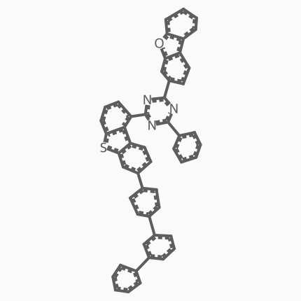 c1ccc(-c2cccc(-c3ccc(-c4ccc5c(c4)sc4cccc(-c6nc(-c7ccccc7)nc(-c7ccc8c(c7)oc7ccccc78)n6)c45)cc3)c2)cc1